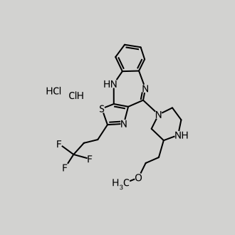 COCCC1CN(C2=Nc3ccccc3Nc3sc(CCC(F)(F)F)nc32)CCN1.Cl.Cl